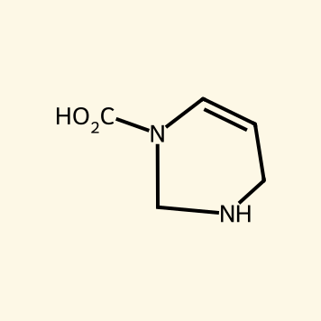 O=C(O)N1C=CCNC1